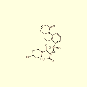 CCc1c(N2CCOCC2=O)cccc1S(=O)(=O)N[C@@H](C(N)=O)C(=O)N1CCC(O)CC1